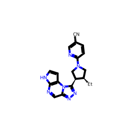 CC[C@@H]1CN(c2ccc(C#N)cn2)C[C@@H]1c1nnc2cnc3[nH]ccc3n12